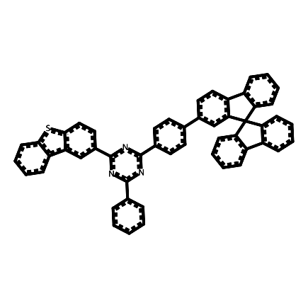 c1ccc(-c2nc(-c3ccc(-c4ccc5c(c4)C4(c6ccccc6-c6ccccc64)c4ccccc4-5)cc3)nc(-c3ccc4sc5ccccc5c4c3)n2)cc1